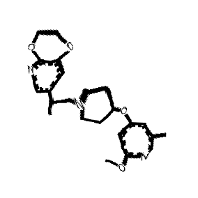 COc1cc(OC2CCN(C(C)c3cnc4c(c3)OCCO4)CC2)cc(C)n1